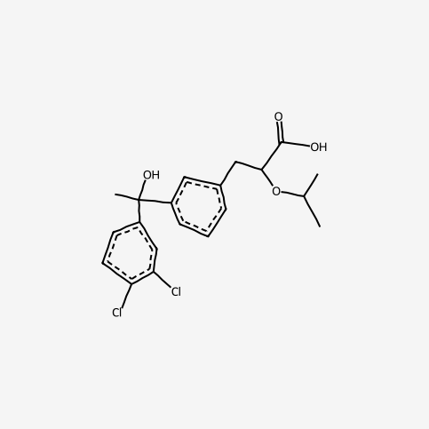 CC(C)OC(Cc1cccc(C(C)(O)c2ccc(Cl)c(Cl)c2)c1)C(=O)O